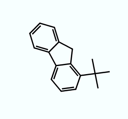 CC(C)(C)c1cccc2c1Cc1ccccc1-2